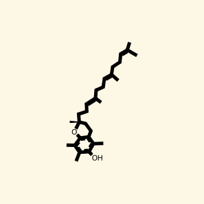 CC(C)=CCC/C(C)=C/CC/C(C)=C/CC[C@]1(C)CCc2c(C)c(O)c(C)c(C)c2O1